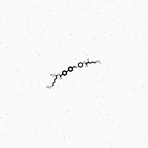 CCCCCC[C@@H](C)OC(=O)c1ccc(-c2ccc(CC[C@H]3CC[C@H](OC(=O)[C@@H](F)CCCC)CC3)cc2)cc1